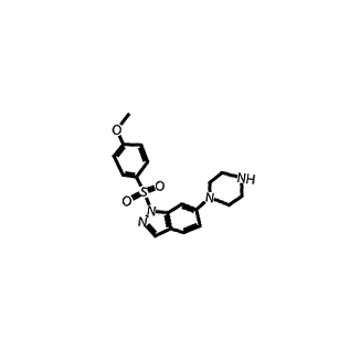 COc1ccc(S(=O)(=O)n2ncc3ccc(N4CCNCC4)cc32)cc1